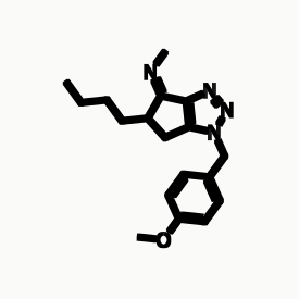 CCCCC1Cc2c(nnn2Cc2ccc(OC)cc2)C1=NC